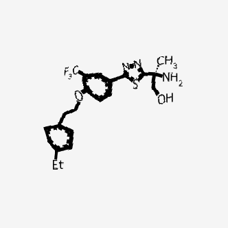 CCc1ccc(CCOc2ccc(-c3nnc([C@@](C)(N)CO)s3)cc2C(F)(F)F)cc1